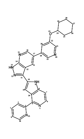 c1ccc(-c2nccc3[nH]c(-c4n[nH]c5ncc(-c6cncc(OC7CCCCC7)c6)cc45)cc23)nc1